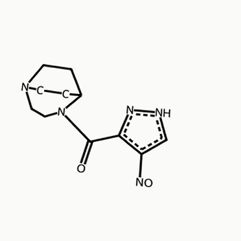 O=Nc1c[nH]nc1C(=O)N1CCN2CCC1CC2